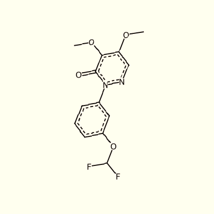 COc1cnn(-c2cccc(OC(F)F)c2)c(=O)c1OC